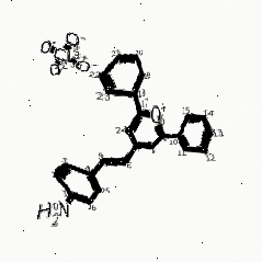 Nc1ccc(C=Cc2cc(-c3ccccc3)[o+]c(-c3ccccc3)c2)cc1.[O-][Cl+3]([O-])([O-])[O-]